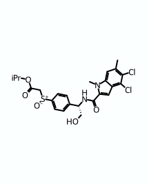 Cc1cc2c(cc(C(=O)N[C@H](CO)c3ccc([S+]([O-])CC(=O)OC(C)C)cc3)n2C)c(Cl)c1Cl